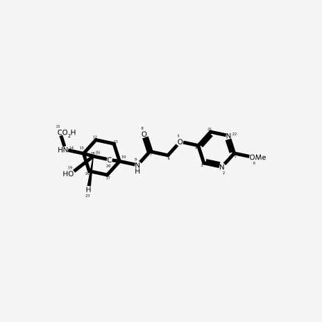 COc1ncc(OCC(=O)NC23CCC(NC(=O)O)(CC2)[C@@H](O)C3)cn1